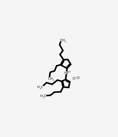 CCCCC1=C(CCCC)[C]([Hf+2][C]2=CCC(CCCC)=C2CCCC)=CC1.[Cl-].[Cl-]